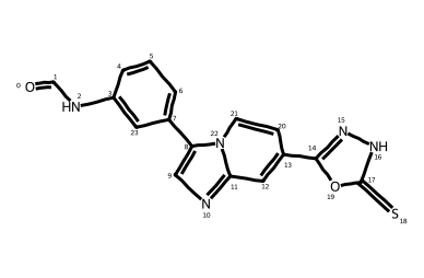 O=CNc1cccc(-c2cnc3cc(-c4n[nH]c(=S)o4)ccn23)c1